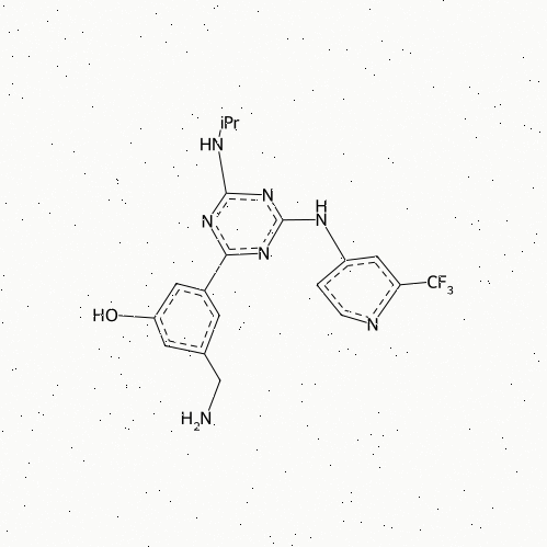 CC(C)Nc1nc(Nc2ccnc(C(F)(F)F)c2)nc(-c2cc(O)cc(CN)c2)n1